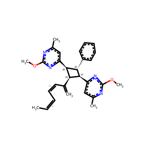 C=C(/C=C\C=C/C)[C@H]1[C@@H](c2cc(C)nc(OC)n2)[C@H](c2ccccc2)[C@H]1c1cc(C)nc(OC)n1